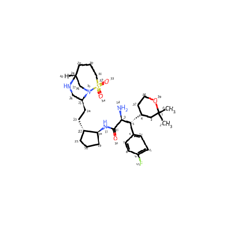 CC1(C)CC([C@H](c2ccc(F)cc2)[C@H](N)C(=O)N[C@H]2CCC[C@@H]2CC[C@H]2CN[C@@H]3CCCS(=O)(=O)N2C3)CCO1